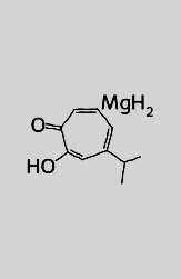 CC(C)c1cccc(=O)c(O)c1.[MgH2]